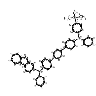 C[Si](C)(C)c1ccc(N(c2ccccc2)c2ccc(-c3ccc(-c4ccc(N(c5ccccc5)c5ccc6c(c5)oc5ccccc56)cc4)cc3)cc2)cc1